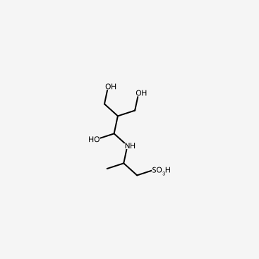 CC(CS(=O)(=O)O)NC(O)C(CO)CO